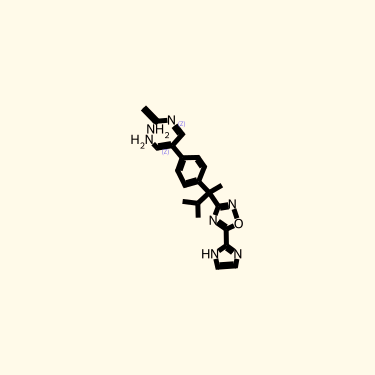 C=C(N)/N=C\C(=C/N)c1ccc(C(C)(c2noc(-c3ncc[nH]3)n2)C(C)C)cc1